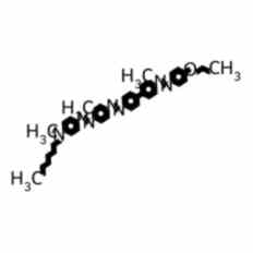 CCCCCCCCN(C)c1ccc(N=Nc2ccc(N=Nc3ccc(-c4ccc(N=Nc5ccc(OCCCC)cc5)c(C)c4)cc3)cc2C)cc1